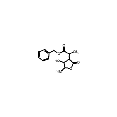 CCCCC1OC(=O)C(C(C)C(=O)OCc2ccccc2)C1O